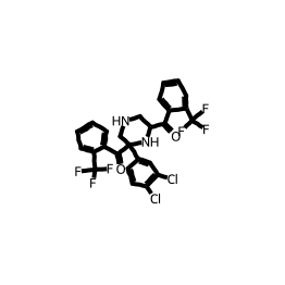 O=C(c1ccccc1C(F)(F)F)C1CNCC(C(=O)c2ccccc2C(F)(F)F)(c2ccc(Cl)c(Cl)c2)N1